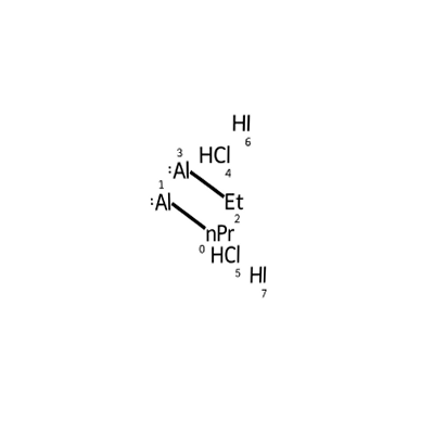 CC[CH2][Al].C[CH2][Al].Cl.Cl.I.I